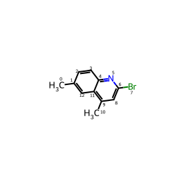 Cc1ccc2nc(Br)cc(C)c2c1